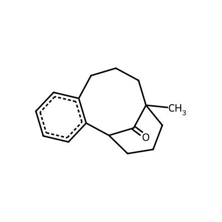 CC12CCCc3ccccc3C(CCC1)C2=O